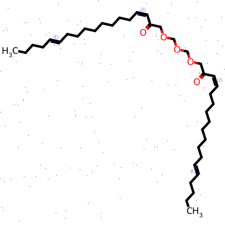 CCCC/C=C/CCCCCCCC/C=C\C(=O)COCOCOCC(=O)/C=C\CCCCCCCC/C=C/CCCC